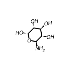 N[C@H]1O[C@H](O)[C@H](O)[C@@H](O)[C@H]1O